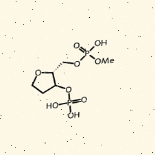 COP(=O)(O)OC[C@H]1OCCC1OP(=O)(O)O